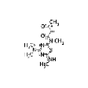 CNc1nc(N(C)C)nc(N(C)C(=O)CC(C)=O)n1